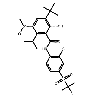 CC(C)c1c([S+](C)[O-])cc(C(C)(C)C)c(O)c1C(=O)Nc1ccc(S(=O)(=O)C(F)(F)F)cc1Cl